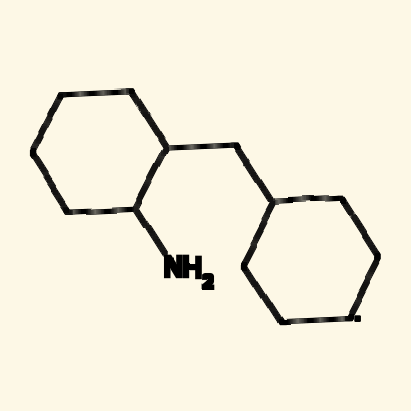 NC1CCCCC1CC1CC[CH]CC1